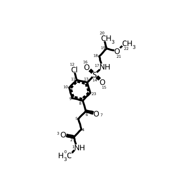 CNC(=O)CCC(=O)c1ccc(Cl)c(S(=O)(=O)NCC(C)OC)c1